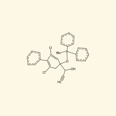 C#CC(O)C1(O[Si](c2ccccc2)(c2ccccc2)C(C)(C)C)C=C(Cl)C(c2ccccc2)=C(Cl)C1